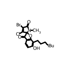 CCC(C)CCCc1c(O)ccc2c1OC1(C2=O)C(Cl)=C(Br)C(=O)N1C